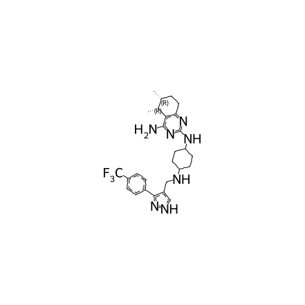 C[C@@H]1CCc2nc(NC3CCC(NCc4c[nH]nc4-c4ccc(C(F)(F)F)cc4)CC3)nc(N)c2[C@@H]1C